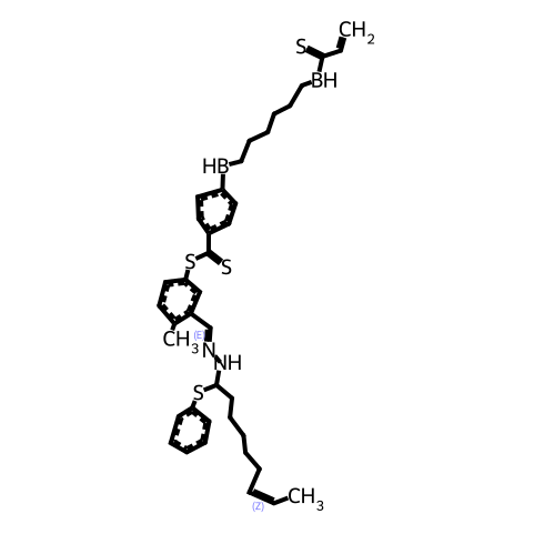 C=CC(=S)BCCCCCCBc1ccc(C(=S)Sc2ccc(C)c(/C=N/NC(CCCCC/C=C\C)Sc3ccccc3)c2)cc1